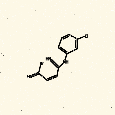 N=C(Br)/C=C\C(=N)Nc1cccc(Cl)c1